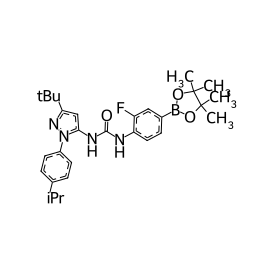 CC(C)c1ccc(-n2nc(C(C)(C)C)cc2NC(=O)Nc2ccc(B3OC(C)(C)C(C)(C)O3)cc2F)cc1